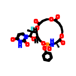 C[C@@H]1N[P@](=O)(Oc2ccccc2)OC[C@H]2O[C@@H](n3ccc(=O)[nH]c3=O)[C@](C)(F)[C@@H]2OC(=O)CCOC(=O)CCCOC1=O